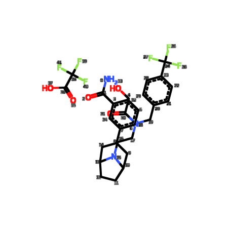 NC(=O)c1cccc(C2CC3CCC(C2)N3CCN(Cc2ccc(C(F)(F)F)cc2)C(=O)CO)c1.O=C(O)C(F)(F)F